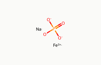 O=P([O-])([O-])[O-].[Fe+3].[Na]